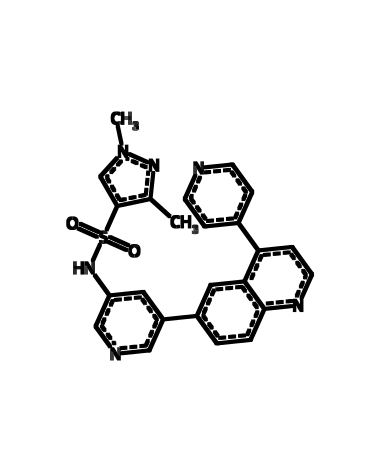 Cc1nn(C)cc1S(=O)(=O)Nc1cncc(-c2ccc3nccc(-c4ccncc4)c3c2)c1